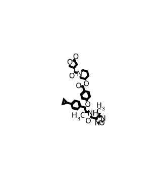 Cc1nonc1C(=O)N[C@@H](C)[C@H](Oc1ccc(C(=O)O[C@H]2CCCN(C(=O)[C@H]3COC(=O)C3)C2)cc1)c1ccc(C2CC2)cc1